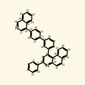 c1ccc(-c2cc(-c3cccc(-c4ccc(-c5cncc6ccccc56)cc4)c3)c3c(ccc4ccccc43)n2)cc1